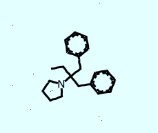 CCC(Cc1ccccc1)(Cc1ccccc1)N1CCCC1